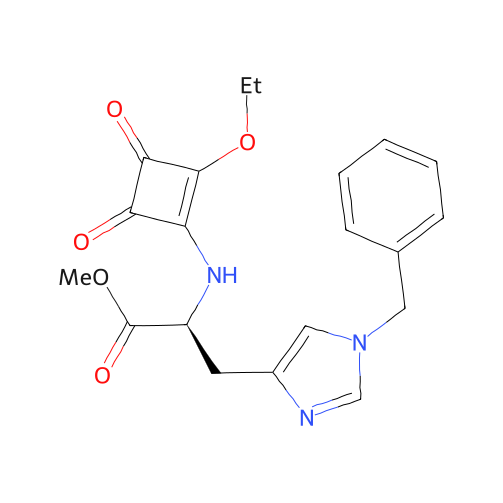 CCOc1c(N[C@@H](Cc2cn(Cc3ccccc3)cn2)C(=O)OC)c(=O)c1=O